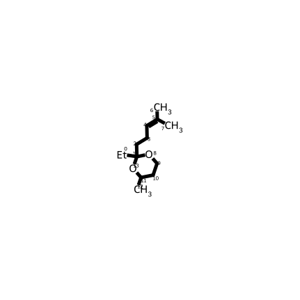 CCC1(CCC=C(C)C)OCCC(C)O1